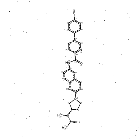 CC(=O)N(C)[C@@H]1CCN(c2ccc3cc(NC(=O)c4ncc(-c5ccc(F)cc5)cn4)ccc3n2)C1